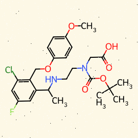 COc1ccc(OCc2c(Cl)cc(F)cc2C(C)NCCN(CC(=O)O)C(=O)OC(C)(C)C)cc1